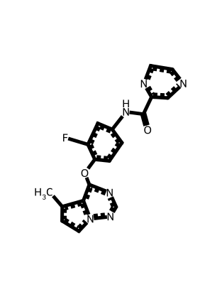 Cc1ccn2ncnc(Oc3ccc(NC(=O)c4cnccn4)cc3F)c12